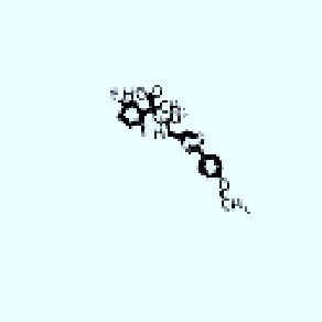 CCOc1ccc(-c2nc(CC(=O)NC(C)(C(=O)O)c3cc(F)ccc3F)cs2)cc1